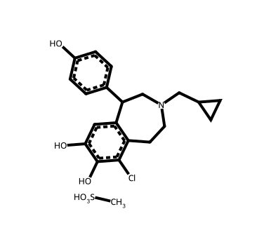 CS(=O)(=O)O.Oc1ccc(C2CN(CC3CC3)CCc3c2cc(O)c(O)c3Cl)cc1